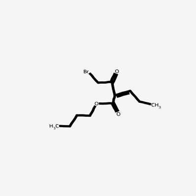 CCC=C(C(=O)CBr)C(=O)OCCCC